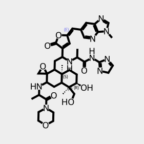 CC(NC(CC1C2(CO2)C(NC(C)C(=O)N2CCOCC2)CC2[C@]1(C)CC[C@@H](O)[C@@]2(C)CO)C1=C/C(=C\c2cnc3c(c2)ncn3C)OC1=O)C(=O)NC1=NCC=N1